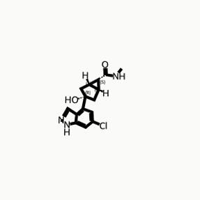 CNC(=O)[C@@H]1[C@@H]2C[C@@](O)(c3cc(Cl)cc4[nH]ncc34)C[C@@H]21